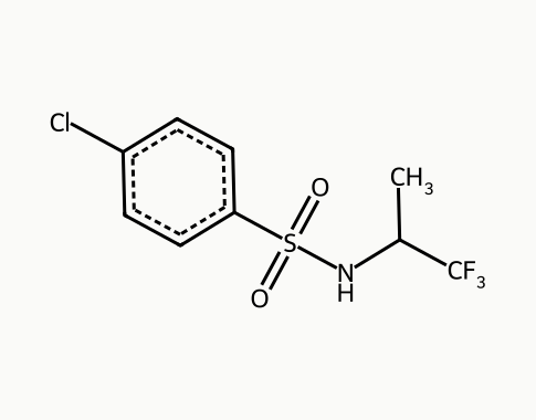 CC(NS(=O)(=O)c1ccc(Cl)cc1)C(F)(F)F